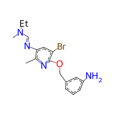 CCN(C)/C=N/c1cc(Br)c(OCc2cccc(N)c2)nc1C